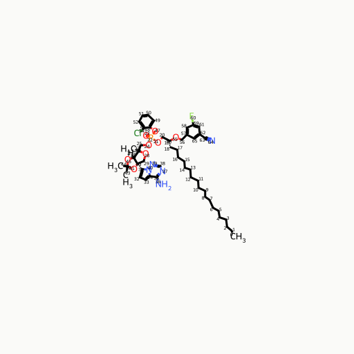 CCCCCCCCCCCCCCCCCCC[C@H](COP(=O)(OC[C@@]1(C)OC[C@@]2(c3ccc4c(N)ncnn34)OC(C)(C)O[C@H]12)Oc1ccccc1Cl)OCc1cc(F)cc(C#N)c1